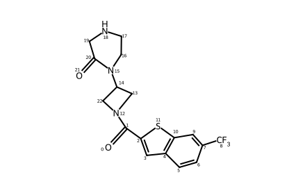 O=C(c1cc2ccc(C(F)(F)F)cc2s1)N1CC(N2CCNCC2=O)C1